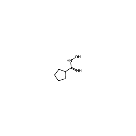 N=C(NO)C1CCCC1